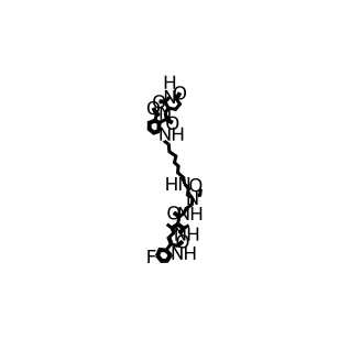 CCN(CCNC(=O)c1c(C)[nH]c(/C=C2\C(=O)Nc3ccc(F)cc32)c1C)CC(=O)NCCCCCCCCNc1cccc2c1C(=O)N(C1CCC(=O)NC1=O)C2=O